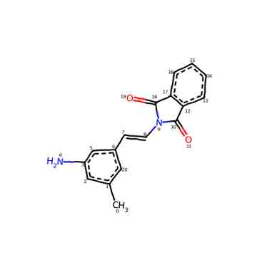 Cc1cc(N)cc(/C=C/N2C(=O)c3ccccc3C2=O)c1